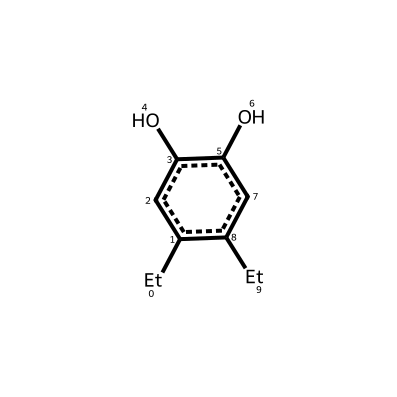 CCc1cc(O)c(O)cc1CC